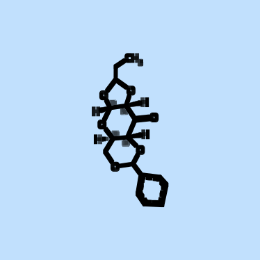 CCC1O[C@H]2O[C@@H]3COC(c4ccccc4)O[C@H]3C(=O)[C@H]2O1